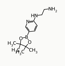 CC1(C)OB(c2ccc(NCCN)nc2)OC1(C)C